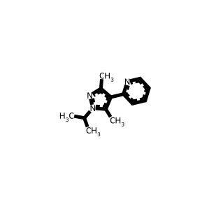 Cc1nn(C(C)C)c(C)c1-c1ccccn1